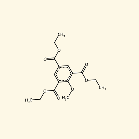 CCOC(=O)c1cc(C(=O)OCC)c(OC)c(C(=O)OCC)c1